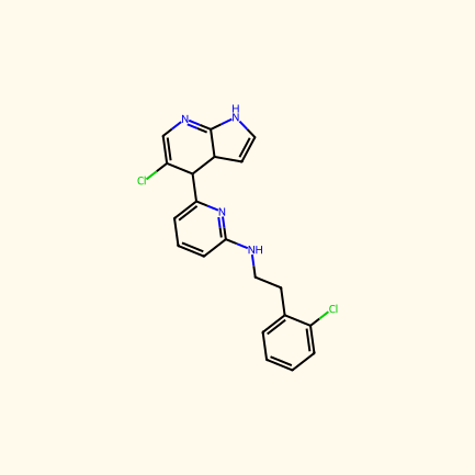 ClC1=CN=C2NC=CC2C1c1cccc(NCCc2ccccc2Cl)n1